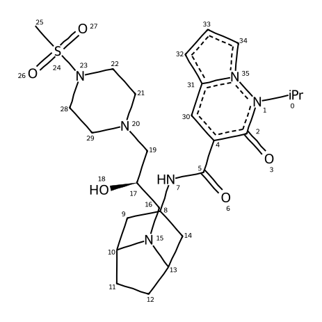 CC(C)n1c(=O)c(C(=O)NC2CC3CCC(C2)N3C[C@@H](O)CN2CCN(S(C)(=O)=O)CC2)cc2cccn21